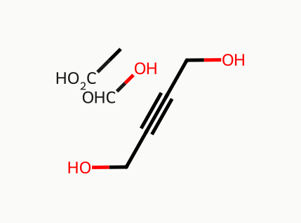 CC(=O)O.O=CO.OCC#CCO